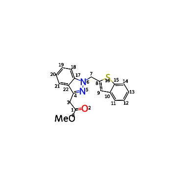 COC(=O)Cc1nn(Cc2cc3ccccc3s2)c2ccccc12